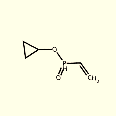 C=C[PH](=O)OC1CC1